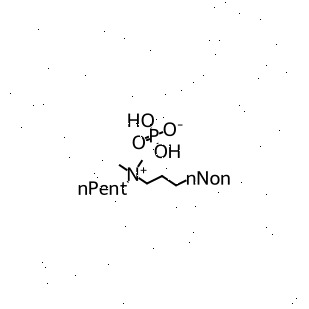 CCCCCCCCCCCC[N+](C)(C)CCCCC.O=P([O-])(O)O